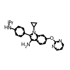 CC(C)Nc1ccc(-c2c(N)c3ccc(Oc4ncccn4)cc3n2C2CC2)cc1